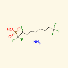 N.O=S(=O)(O)C(F)(F)C(F)CCCCCCC(F)(F)F